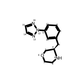 c1cc(C[C@@H]2COCCN2)cc(-n2nccn2)c1